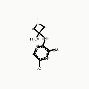 CCc1nc(Cl)cnc1NC1(C)COC1